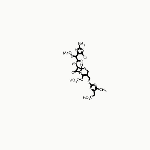 CON=C(C(=O)NC1C(=O)N2C(OC(=O)O)=C(CSc3nc(C)c(CC(=O)O)s3)CS[C@@H]12)c1nc(N)sc1Cl